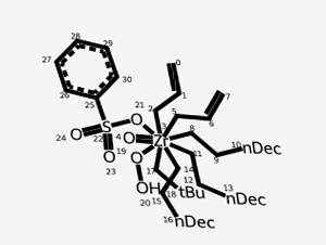 C=C[CH2][Zr](=[O])([CH2]C=C)([CH2]CCCCCCCCCCC)([CH2]CCCCCCCCCCC)([CH2]CCCCCCCCCCC)([CH2]C(C)(C)C)([O]O)[O]S(=O)(=O)c1ccccc1